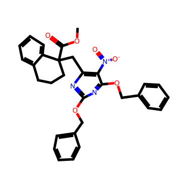 COC(=O)C1(Cc2nc(OCc3ccccc3)nc(OCc3ccccc3)c2[N+](=O)[O-])CCCc2ccccc21